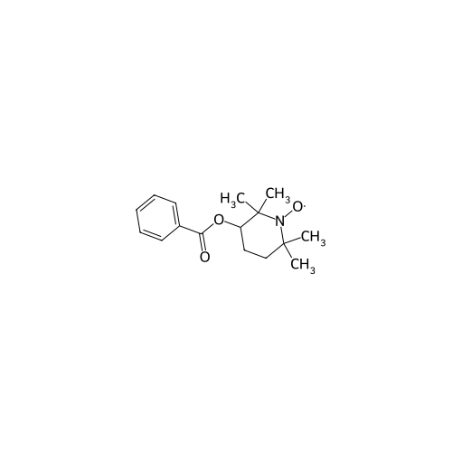 CC1(C)CCC(OC(=O)c2ccccc2)C(C)(C)N1[O]